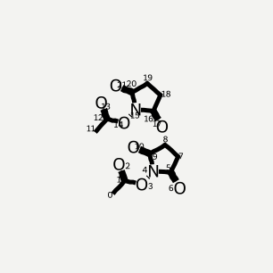 CC(=O)ON1C(=O)CCC1=O.CC(=O)ON1C(=O)CCC1=O